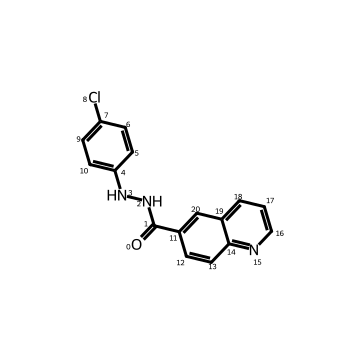 O=C(NNc1ccc(Cl)cc1)c1ccc2ncccc2c1